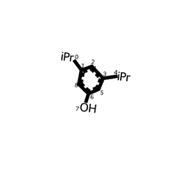 CC(C)c1[c]c(C(C)C)cc(O)c1